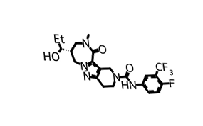 CCC(O)[C@@H]1CN(C)C(=O)c2c3c(nn2C1)CCN(C(=O)Nc1ccc(F)c(C(F)(F)F)c1)C3